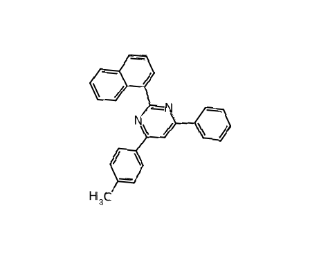 Cc1ccc(-c2cc(-c3ccccc3)nc(-c3cccc4ccccc34)n2)cc1